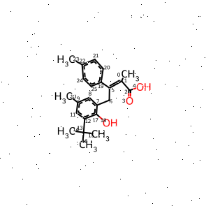 CC(C(=O)O)=C(Cc1cc(C)cc(C(C)(C)C)c1O)c1ccc(C)cc1